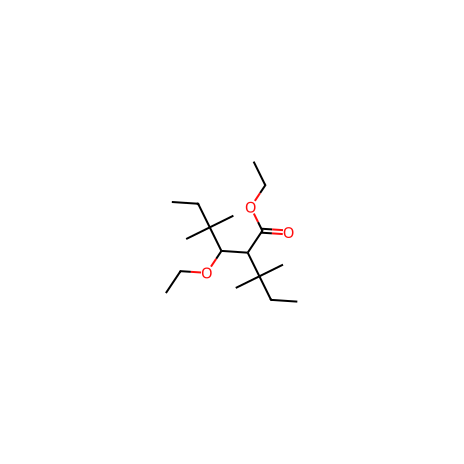 CCOC(=O)C(C(OCC)C(C)(C)CC)C(C)(C)CC